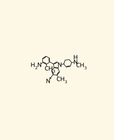 CNC1C=CC(n2cc(-c3cccc(N)c3C)c3cc(C#N)c(C)cc32)CC1